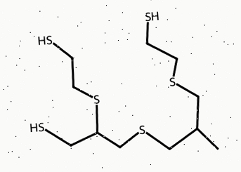 CC(CSCCS)CSCC(CS)SCCS